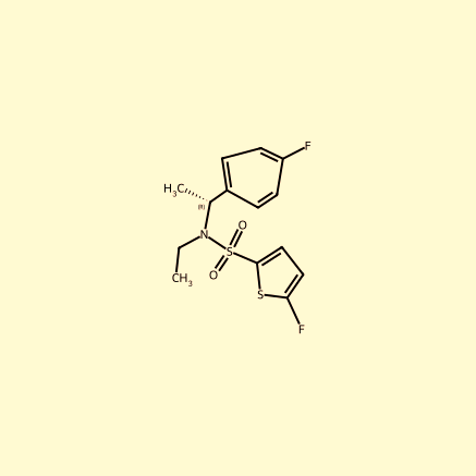 CCN([C@H](C)c1ccc(F)cc1)S(=O)(=O)c1ccc(F)s1